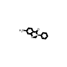 Nc1ccc2c(=O)n(-c3ccccc3)cnc2c1